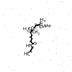 C#CCNC(=O)CCCCCC(C)(C)OC/C=C(/C)OC